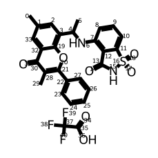 Cc1cc(C(C)Nc2cccc3c2C(=O)NS3(=O)=O)c2oc(-c3ccccc3)c(C)c(=O)c2c1.O=C(O)C(F)(F)F